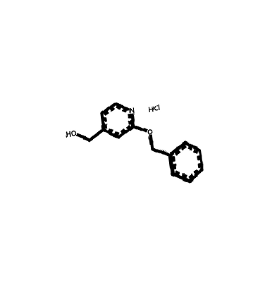 Cl.OCc1ccnc(OCc2ccccc2)c1